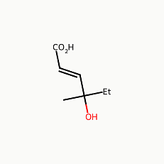 CCC(C)(O)C=CC(=O)O